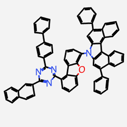 c1ccc(-c2ccc(-c3nc(-c4ccc5ccccc5c4)nc(-c4cccc5oc6c(-n7c8cc(-c9ccccc9)c9ccccc9c8c8c9ccccc9c(-c9ccccc9)cc87)cccc6c45)n3)cc2)cc1